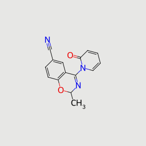 CC1N=C(n2ccccc2=O)c2cc(C#N)ccc2O1